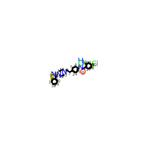 O=C(Nc1ccc(CCN2CCN(c3nsc4ccccc34)CC2)cc1)c1ccc(Cl)cc1Cl